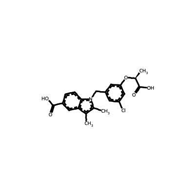 Cc1c(C)n(Cc2cc(Cl)cc(O[C@@H](C)C(=O)O)c2)c2ccc(C(=O)O)cc12